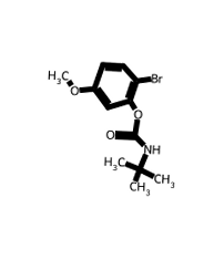 COc1ccc(Br)c(OC(=O)NC(C)(C)C)c1